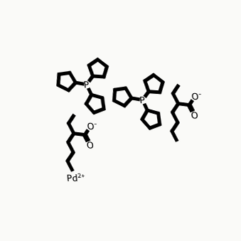 C1CCC(P(C2CCCC2)C2CCCC2)C1.C1CCC(P(C2CCCC2)C2CCCC2)C1.CCCCC(CC)C(=O)[O-].CCCCC(CC)C(=O)[O-].[Pd+2]